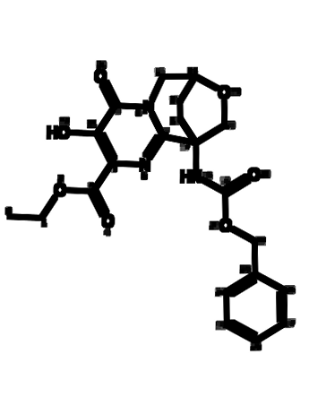 CCOC(=O)c1nc2n(c(=O)c1O)CC1CCC2(NC(=O)OCc2ccccc2)CO1